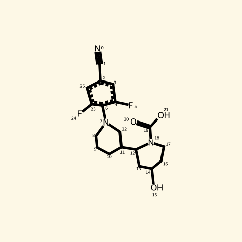 N#Cc1cc(F)c(N2CCCC(C3CC(O)CCN3C(=O)O)C2)c(F)c1